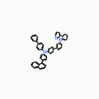 c1ccc(-c2ccc(N(c3ccc(-c4cccc(-n5c6ccccc6c6cccnc65)c4)cc3)c3ccc(-c4cccc5ccccc45)cc3)cc2)cc1